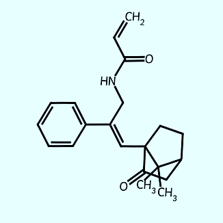 C=CC(=O)NCC(=CC12CCC(CC1=O)C2(C)C)c1ccccc1